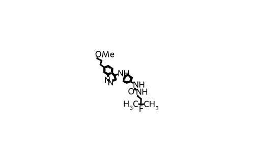 COCCCc1ccc2c(Nc3ccc(NC(=O)NCCC(C)(C)F)cc3)cnnc2c1